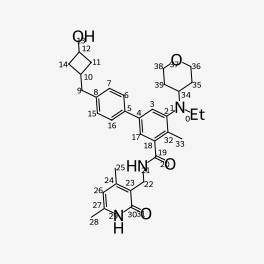 CCN(c1cc(-c2ccc(CC3CC(O)C3)cc2)cc(C(=O)NCc2c(C)cc(C)[nH]c2=O)c1C)C1CCOCC1